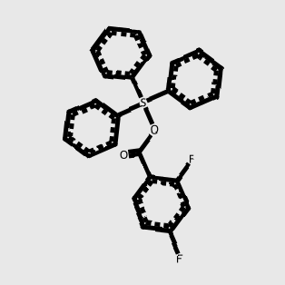 O=C(OS(c1ccccc1)(c1ccccc1)c1ccccc1)c1ccc(F)cc1F